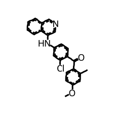 COc1ccc(C(=O)c2ccc(Nc3cncc4ccccc34)cc2Cl)c(C)c1